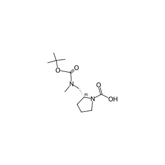 CN(C[C@H]1CCCN1C(=O)O)C(=O)OC(C)(C)C